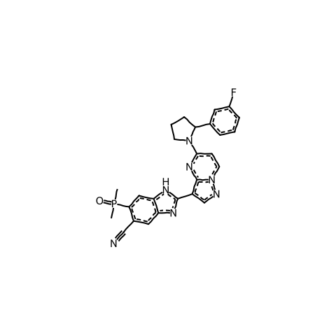 CP(C)(=O)c1cc2[nH]c(-c3cnn4ccc(N5CCCC5c5cccc(F)c5)nc34)nc2cc1C#N